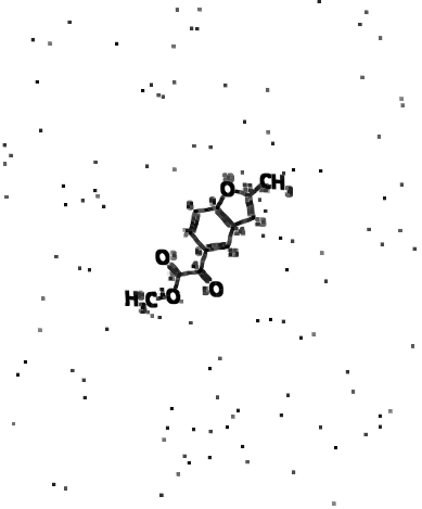 COC(=O)C(=O)c1ccc2oc(C)cc2c1